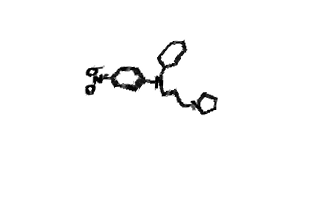 O=[N+]([O-])c1ccc(N(CCCN2CCCC2)C2C=CCCC2)cc1